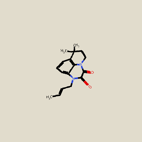 CC=CCn1c(=O)c(=O)n2c3c(cccc31)C(C)(C)CC2